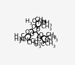 CC1(C)CC2(CC(C)(C)N1)OCC(C1OC3(CC(C)(C)NC(C)(C)C3)OC3COC4(CC(C)(C)NC(C)(C)C4)OC31)O2